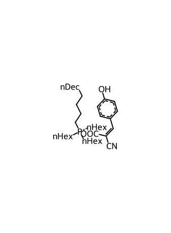 CCCCCCCCCCCCCC[P+](CCCCCC)(CCCCCC)CCCCCC.N#CC(=Cc1ccc(O)cc1)C(=O)[O-]